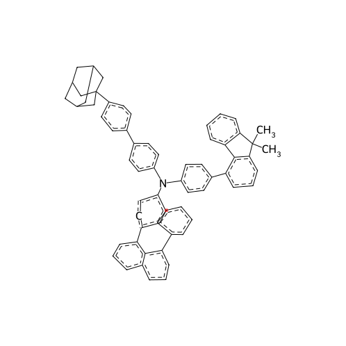 CC1(C)c2ccccc2-c2c(-c3ccc(N(c4ccc(-c5ccc(C67CC8CC(CC(C8)C6)C7)cc5)cc4)c4ccc(-c5cccc6cccc(-c7ccccc7)c56)cc4)cc3)cccc21